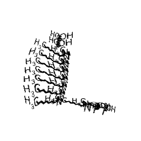 CCCCCCCCc1nccn1C.CCCCCCCCc1nccn1C.CCCCCCCCc1nccn1C.CCCCCCCCc1nccn1C.CCCCCCCCc1nccn1C.CCCCCCCCc1nccn1C.CCCCCCCCc1nccn1C.CCCCCCCCc1nccn1C.OB(O)F.OB(O)F.OB(O)F.OB(O)F